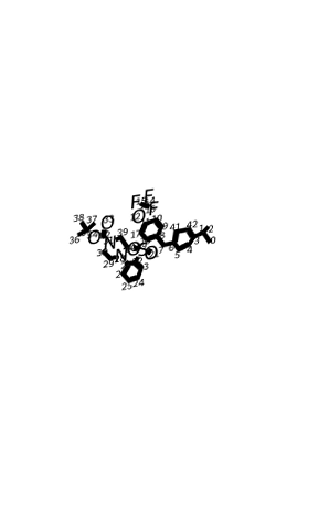 CC(C)c1ccc(Cc2ccc(OC(F)(F)F)cc2S(=O)(=O)c2ccccc2N2CCN(C(=O)OC(C)(C)C)CC2)cc1